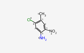 Cc1cc([N+](=O)[O-])c(N)cc1Cl